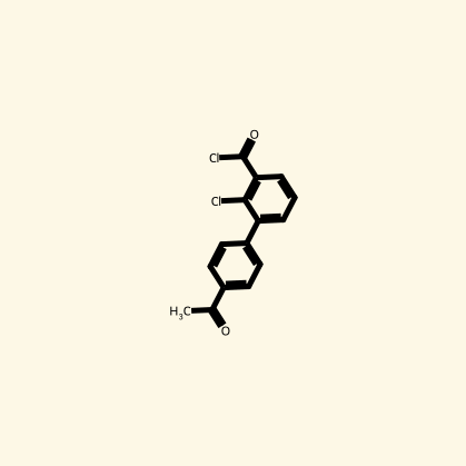 CC(=O)c1ccc(-c2cccc(C(=O)Cl)c2Cl)cc1